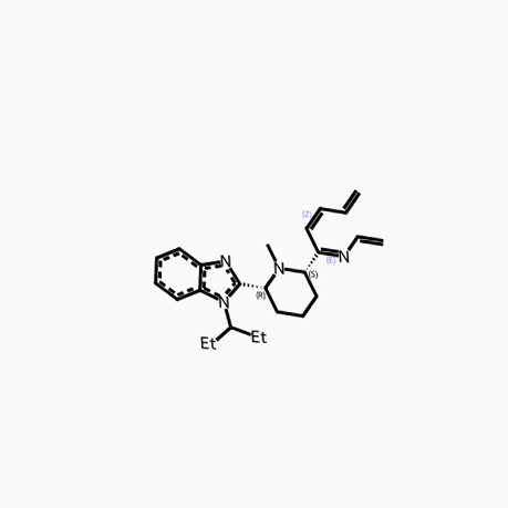 C=C/C=C\C(=N/C=C)[C@@H]1CCC[C@H](c2nc3ccccc3n2C(CC)CC)N1C